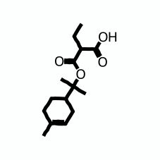 CCC(C(=O)O)C(=O)OC(C)(C)C1CC=C(C)CC1